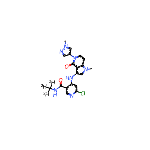 [2H]C([2H])([2H])NC(=O)c1cnc(Cl)cc1Nc1cn(C)c2ccn(-c3cnn(C)c3)c(=O)c12